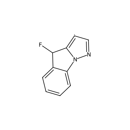 FC1c2ccccc2-n2nc[c]c21